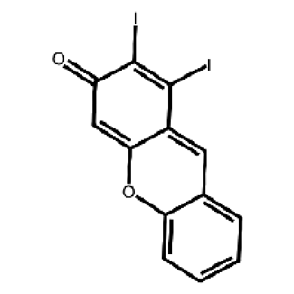 O=c1cc2oc3ccccc3cc-2c(I)c1I